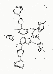 Cc1ccc(C2=Cc3c(ccc(C)c3-c3ccc(-c4ccccc4)cc3)[CH]2[Zr+2]([CH]2C(c3ccc(C)o3)=Cc3c2ccc(C)c3-c2ccc(-c3ccccc3)cc2)=[Si](C)C)o1.[Cl-].[Cl-]